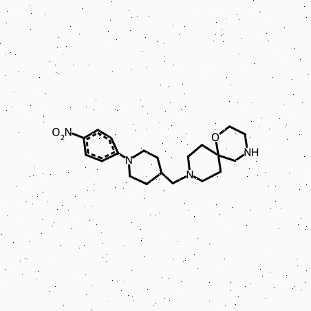 O=[N+]([O-])c1ccc(N2CCC(CN3CCC4(CC3)CNCCO4)CC2)cc1